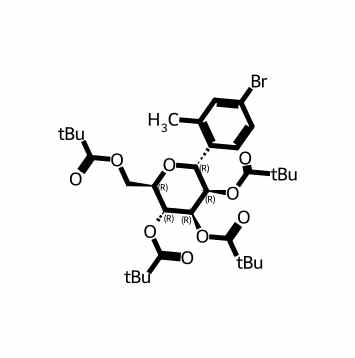 Cc1cc(Br)ccc1[C@H]1O[C@H](COC(=O)C(C)(C)C)[C@@H](OC(=O)C(C)(C)C)[C@H](OC(=O)C(C)(C)C)[C@@H]1OC(=O)C(C)(C)C